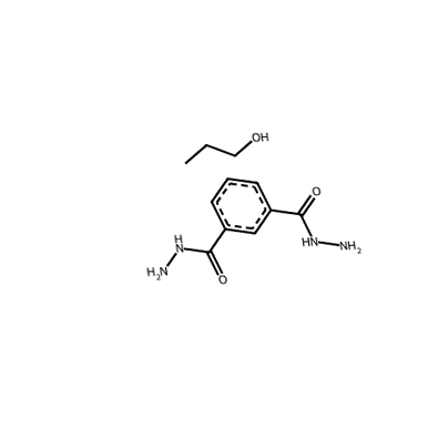 CCCO.NNC(=O)c1cccc(C(=O)NN)c1